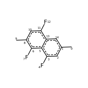 Cc1cc(F)c2c(F)c(C)cc(F)c2c1